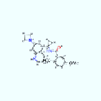 COc1ccc(C)c(C(=O)NC2(c3cc(N4CCC4)cc4ncccc34)CC2)c1